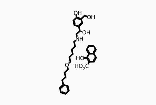 O=C(O)c1ccc2ccccc2c1O.OCc1cc([C@@H](O)CNCCCCCCOCCCCc2ccccc2)ccc1O